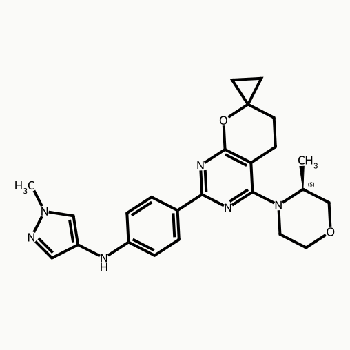 C[C@H]1COCCN1c1nc(-c2ccc(Nc3cnn(C)c3)cc2)nc2c1CCC1(CC1)O2